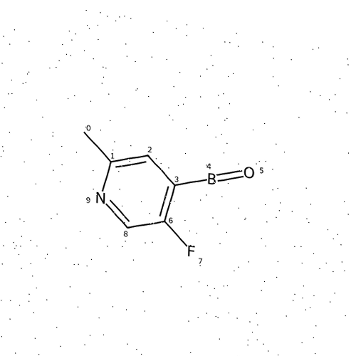 Cc1cc(B=O)c(F)cn1